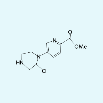 COC(=O)c1ccc(N2CCNCC2Cl)cn1